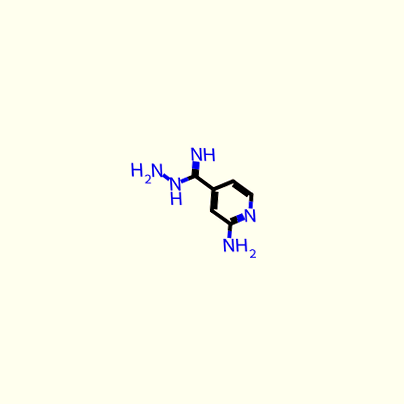 N=C(NN)c1ccnc(N)c1